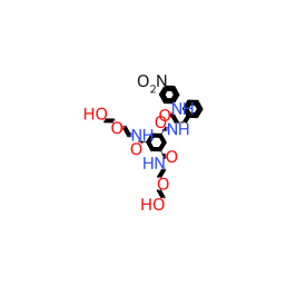 O=C(NCCOCCO)[C@@H]1C[C@H](C(=O)NCCOCCO)C[C@H](C(=O)N[C@@H](Cc2ccccc2)C(=O)Nc2ccc([N+](=O)[O-])cc2)C1